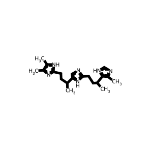 Cc1nc(CCC(C)c2cnc(CCC(C)c3[nH]cnc3C)[nH]2)[nH]c1C